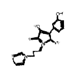 CCCC1C(c2cccc(O)c2)=C(O)C(=O)N1CCCn1ccnc1